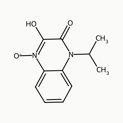 CC(C)n1c(=O)c(O)[n+]([O-])c2ccccc21